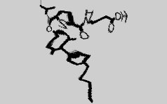 CCCCCc1ccc(-c2c(C)cc(O[C@H](CC(C)C)c3ccc(C(=O)NCCC(=O)O)s3)cc2C)cc1